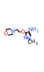 Cn1cc(N)c(OCCN2CCOCC2)n1